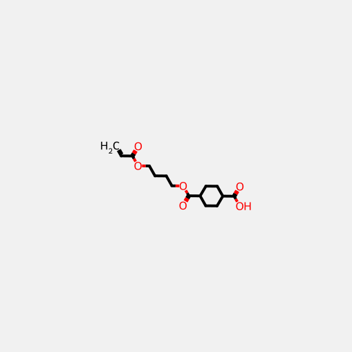 C=CC(=O)OCCCCOC(=O)C1CCC(C(=O)O)CC1